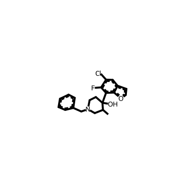 CC1CN(Cc2ccccc2)CCC1(O)c1c(F)c(Cl)cc2ccoc12